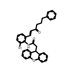 CCc1cccc(C=CC(=O)CCCc2ccccc2)c1NC(=O)CC1c2ccccc2Oc2ccccc21